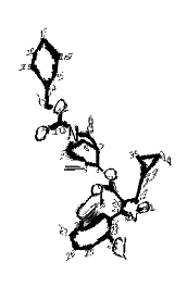 O=C(OC1CC2CC1CN2C(=O)OCc1ccccc1)c1c(-c2c(Cl)cccc2Cl)noc1C1CC1